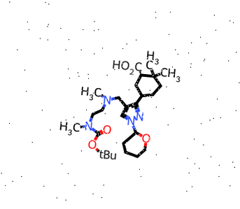 CN(CCN(C)C(=O)OC(C)(C)C)Cc1cn(C2CCCCO2)nc1C1CCC(C)(C)[C@@H](C(=O)O)C1